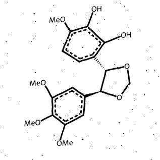 COc1ccc([C@@H]2OCO[C@H]2c2cc(OC)c(OC)c(OC)c2)c(O)c1O